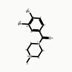 CC(C)c1ccc(C(=O)N2CCN(C)CC2)cc1C(C)C